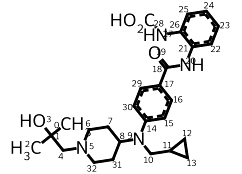 CC(C)(O)CN1CCC(N(CC2CC2)c2ccc(C(=O)Nc3ccccc3NC(=O)O)cc2)CC1